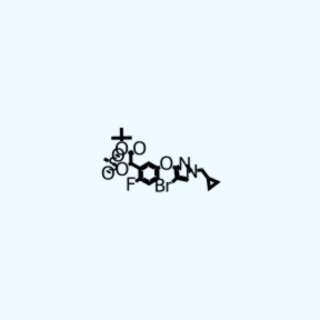 CC(C)(C)OC(=O)C(OS(C)(=O)=O)c1cc(Oc2nn(CC3CC3)cc2Br)ccc1F